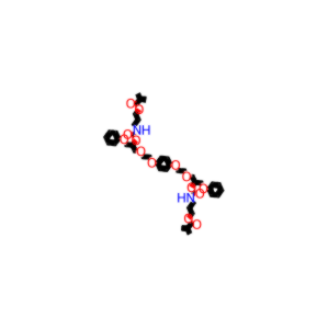 C=C(C)C(=O)OCCCNC(=O)OC(COCCOc1ccc(OCCOCC(COc2ccccc2)OC(=O)NCCCOC(=O)C(=C)C)cc1)COc1ccccc1